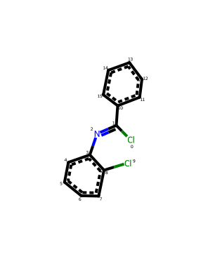 ClC(=Nc1ccccc1Cl)c1ccccc1